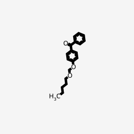 CCCCCOCOc1ccc(C(=O)c2ccccc2)cc1